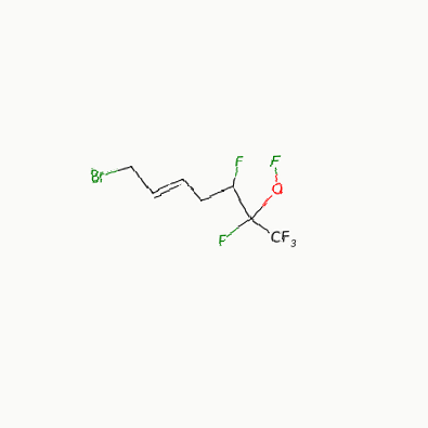 FOC(F)(C(F)CC=CCBr)C(F)(F)F